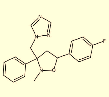 CN1OC(c2ccc(F)cc2)CC1(Cn1cncn1)c1ccccc1